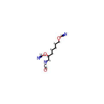 N#COCCCCCC(CN=C=O)OC#N